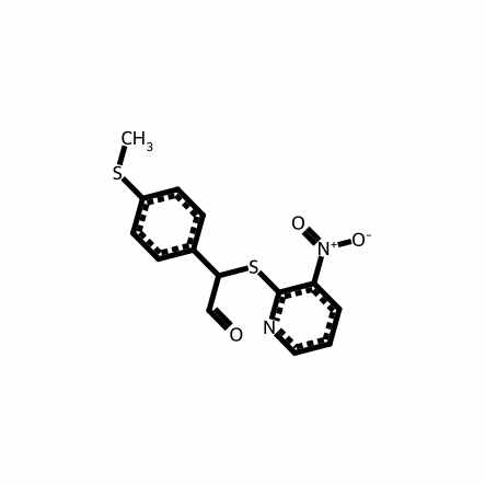 CSc1ccc(C(C=O)Sc2ncccc2[N+](=O)[O-])cc1